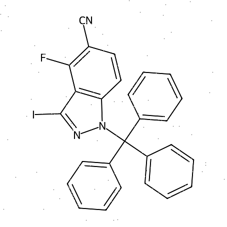 N#Cc1ccc2c(c(I)nn2C(c2ccccc2)(c2ccccc2)c2ccccc2)c1F